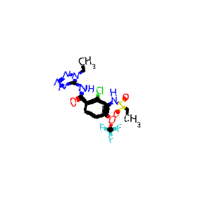 CCn1nnnc1NC(=O)c1ccc(OC(F)(F)F)c(NS(=O)(=O)CC)c1Cl